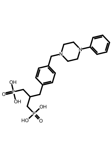 O=P(O)(O)CC(Cc1ccc(CN2CCN(c3ccccc3)CC2)cc1)CP(=O)(O)O